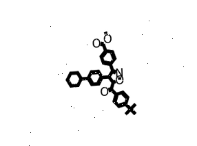 COC(=O)c1ccc(C2=NOC(C(=O)c3ccc(C(C)(C)C)cc3)C2c2ccc(C3CCCCC3)cc2)cc1